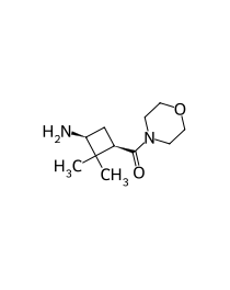 CC1(C)[C@@H](N)C[C@H]1C(=O)N1CCOCC1